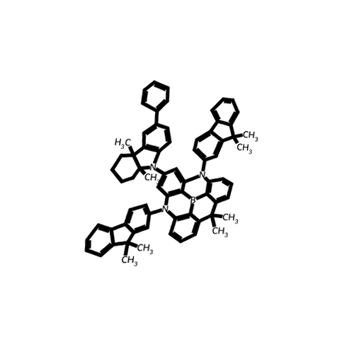 CC1(C)c2ccccc2-c2ccc(N3c4cc(N5c6ccc(-c7ccccc7)cc6C6(C)CCCCC56C)cc5c4B4c6c3cccc6C(C)(C)c3cccc(c34)N5c3ccc4c(c3)C(C)(C)c3ccccc3-4)cc21